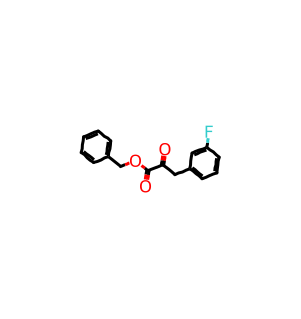 O=C(Cc1cccc(F)c1)C(=O)OCc1ccccc1